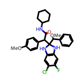 COc1ccc(C(C(=O)NC2CCCCC2)C2(C(OC)c3ccccc3)Nc3cc(F)c(Cl)cc3N2)cc1